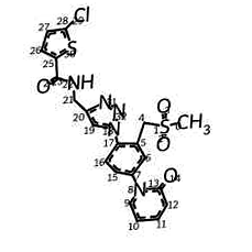 CS(=O)(=O)Cc1cc(-n2ccccc2=O)ccc1-n1cc(CNC(=O)c2ccc(Cl)s2)nn1